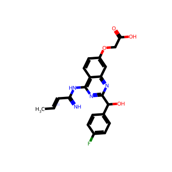 C/C=C/C(=N)Nc1nc(C(O)c2ccc(F)cc2)nc2cc(OCC(=O)O)ccc12